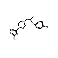 CC(CN1CCN(c2nc(N)n[nH]2)CC1)Oc1ccc(Cl)cc1